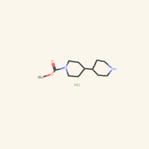 CC(C)(C)OC(=O)N1CCC(C2CCNCC2)CC1.Cl